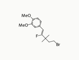 COc1ccc(/C=C(\F)C(C)(C)CCBr)cc1OC